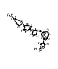 CN1CCN(c2cnc(-c3cccc(Cc4nn(-c5cnn(C)c5)ccc4=O)c3)nc2)CC1